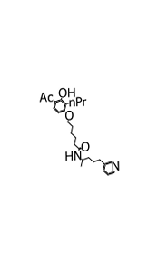 CCCc1c(OCCCCCC(=O)NC(C)CCCc2cccnc2)ccc(C(C)=O)c1O